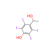 CC(O)c1c(I)c(I)c(O)c(I)c1I